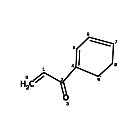 C=CC(=O)C1=CC=CC[CH]1